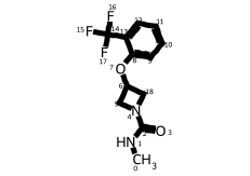 CNC(=O)N1CC(Oc2ccccc2C(F)(F)F)C1